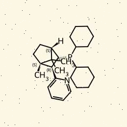 CC1(C)[C@@H]2CC[C@@]1(C)[C@H](c1ccccn1)[C@H]2P(C1CCCCC1)C1CCCCC1